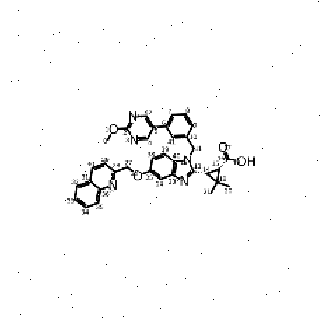 COc1ncc(-c2cccc(Cn3c([C@@H]4[C@H](C(=O)O)C4(C)C)nc4cc(OCc5ccc6ccccc6n5)ccc43)c2)cn1